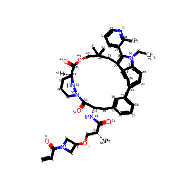 C=CC(=O)N1CC(OC[C@H](C(=O)N[C@H]2Cc3cccc(c3)-c3ccc4c(c3)c(c(-c3cccnc3C(C)C)n4CC(F)(F)F)CC(C)(C)COC(=O)[C@@H]3CCCN(N3)C2=O)C(C)C)C1